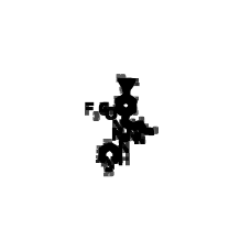 Cc1cc2c(-c3ccc(C4CC4)cc3OC(F)(F)F)nnc(N[C@@H]3CCCN(C)C3)n2n1